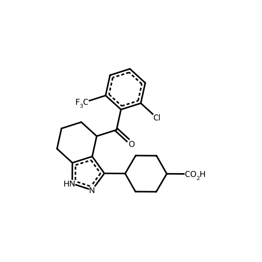 O=C(O)C1CCC(c2n[nH]c3c2C(C(=O)c2c(Cl)cccc2C(F)(F)F)CCC3)CC1